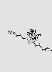 CCCCCCCCCCCCCCCCC[CH2][Mo].N.O=P(O)(O)O